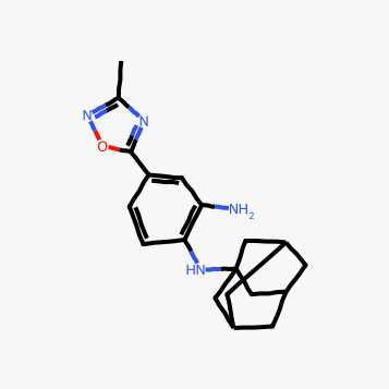 Cc1noc(-c2ccc(NC34CC5CC(CC(C5)C3)C4)c(N)c2)n1